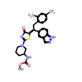 CC(C)(C)OC(=O)NC1CCCN(C2=NC(=O)C(=C(Cc3ccc(C(F)(F)F)cc3C(F)(F)F)c3ccc4[nH]ncc4c3)S2)C1